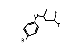 CC(C[C](F)F)Oc1ccc(Br)cc1